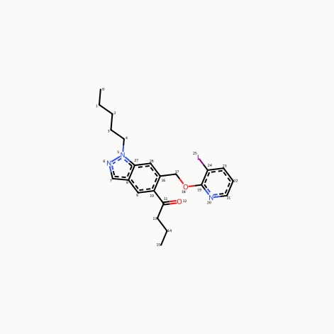 CCCCCn1ncc2cc(C(=O)CCC)c(COc3ncccc3I)cc21